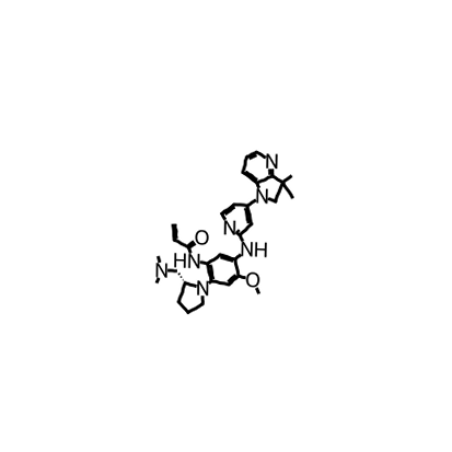 C=CC(=O)Nc1cc(Nc2cc(N3CC(C)(C)c4ncccc43)ccn2)c(OC)cc1N1CCC[C@@H]1CN(C)C